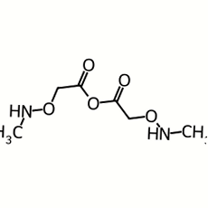 CNOCC(=O)OC(=O)CONC